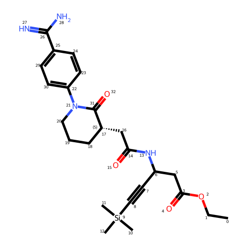 CCOC(=O)CC(C#C[Si](C)(C)C)NC(=O)C[C@@H]1CCCN(c2ccc(C(=N)N)cc2)C1=O